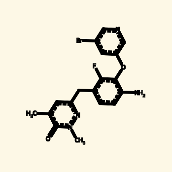 Cc1cc(Cc2ccc(N)c(Oc3cncc(Br)c3)c2F)nn(C)c1=O